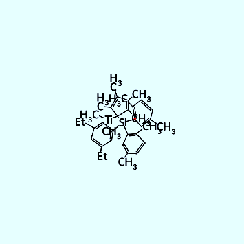 CCc1cc(CC)cc([Si](c2cc(C)ccc2C)(c2cc(C)ccc2C)[C]2([Ti]([CH3])[CH3])C(C)=C(C)C(C)=C2C)c1